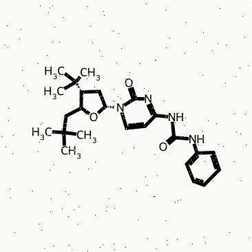 CC(C)(C)CC1O[C@@H](n2ccc(NC(=O)Nc3ccccc3)nc2=O)C[C@H]1C(C)(C)C